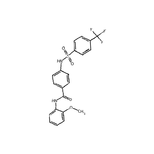 COc1ccccc1NC(=O)c1ccc(NS(=O)(=O)c2ccc(C(F)(F)F)cc2)cc1